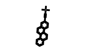 C[Si](C)(C)C#Cc1ccc2c(ccc3c4ccccc4ccc23)c1